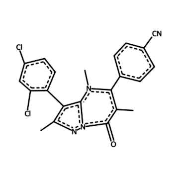 Cc1nn2c(=O)c(C)c(-c3ccc(C#N)cc3)n(C)c2c1-c1ccc(Cl)cc1Cl